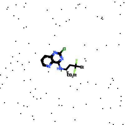 CCOC(=O)[C@@H](CC(F)(F)CC)Nc1nc(Cl)nc2cccnc12